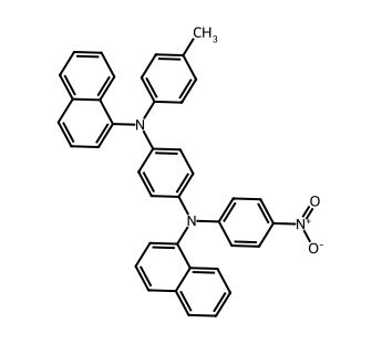 Cc1ccc(N(c2ccc(N(c3ccc([N+](=O)[O-])cc3)c3cccc4ccccc34)cc2)c2cccc3ccccc23)cc1